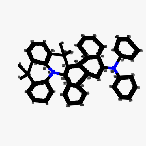 CC1(C)c2ccccc2N2c3c1cccc3C(C)(C)c1c2c2ccccc2c2cc(N(c3ccccc3)c3ccccc3)c3ccccc3c12